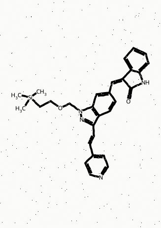 C[Si](C)(C)CCOCn1nc(C=Cc2ccncc2)c2ccc(C=C3C(=O)Nc4ccccc43)cc21